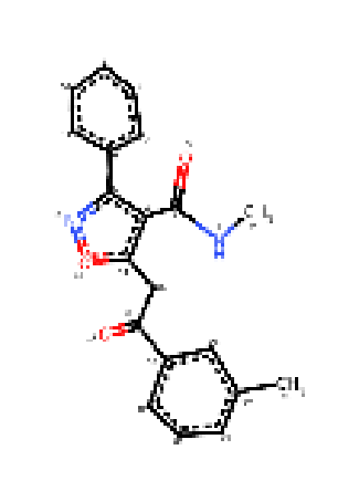 CNC(=O)c1c(-c2ccccc2)noc1CC(=O)c1cccc(C)c1